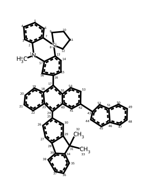 CN1c2ccccc2[Si]2(CCCC2)c2ccc(-c3c4ccccc4c(-c4ccc5c(c4)C(C)(C)c4ccccc4-5)c4cc(-c5ccc6ccccc6c5)ccc34)cc21